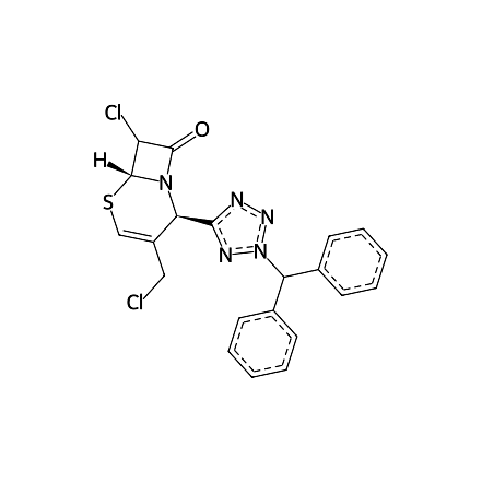 O=C1C(Cl)[C@H]2SC=C(CCl)[C@H](c3nnn(C(c4ccccc4)c4ccccc4)n3)N12